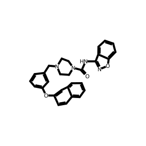 O=C(Nc1noc2ccccc12)N1CCN(Cc2cccc(Oc3ccc4ccccc4c3)c2)CC1